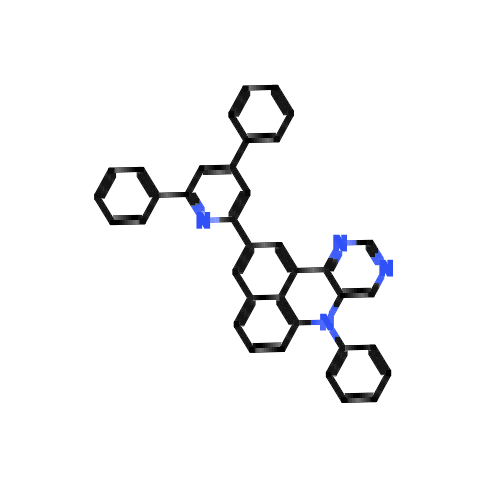 c1ccc(-c2cc(-c3ccccc3)nc(-c3cc4c5c(cccc5c3)N(c3ccccc3)c3cncnc3-4)c2)cc1